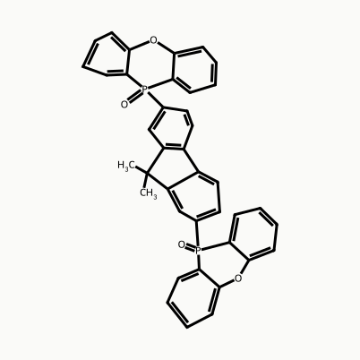 CC1(C)c2cc(P3(=O)c4ccccc4Oc4ccccc43)ccc2-c2ccc(P3(=O)c4ccccc4Oc4ccccc43)cc21